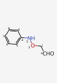 O=CCONc1ccccc1